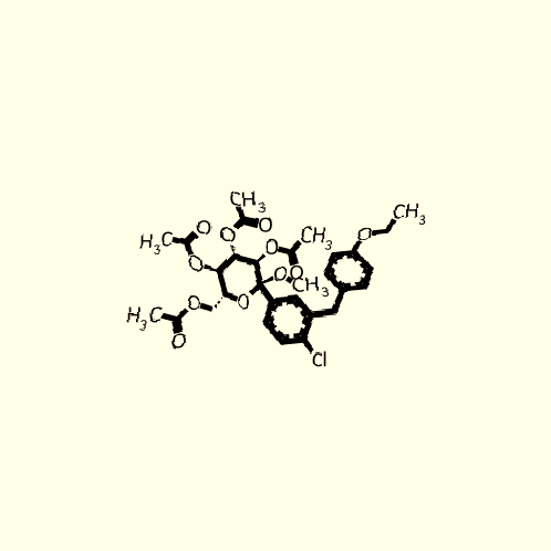 CCOc1ccc(Cc2cc([C@]3(OC)O[C@H](COC(C)=O)[C@@H](OC(C)=O)[C@H](OC(C)=O)[C@H]3OC(C)=O)ccc2Cl)cc1